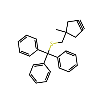 CC1(CSC(c2ccccc2)(c2ccccc2)c2ccccc2)CC#CC1